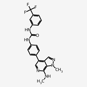 CNc1ncc(-c2ccc(NC(=O)Nc3cccc(C(F)(F)F)c3)cc2)c2cnn(C)c12